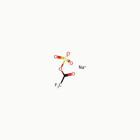 O=C(OS(=O)(=O)[O-])C(F)(F)F.[Na+]